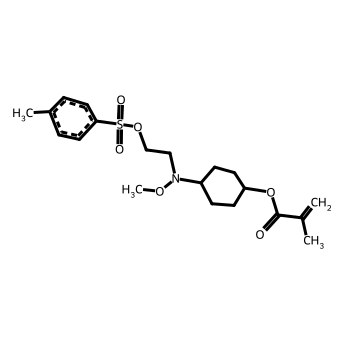 C=C(C)C(=O)OC1CCC(N(CCOS(=O)(=O)c2ccc(C)cc2)OC)CC1